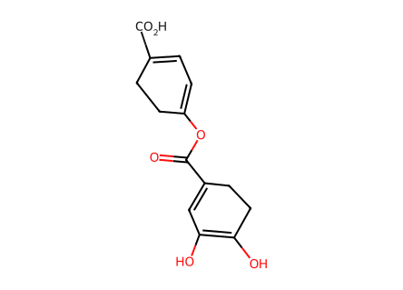 O=C(O)C1=CC=C(OC(=O)C2=CC(O)=C(O)CC2)CC1